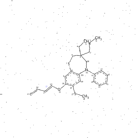 CCCC1(CC)CSc2cc(O/C=C/C=O)c(SC)cc2N(c2ccccc2)C1